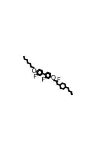 C=CCCC1CCC(CC(F)COc2ccc(-c3ccc(OCCCCCCC)c(F)c3)c(F)c2)CC1